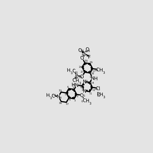 COc1cc2c(cc1Nc1ncc(Cl)c(Nc3c(C)cc(OS(=O)(=O)F)cc3OP(C)C)n1)CN(C)CC2.P